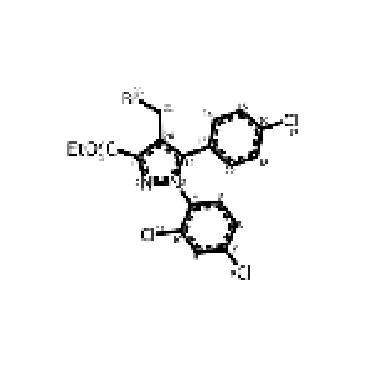 CCOC(=O)c1nn(-c2ccc(Cl)cc2Cl)c(-c2ccc(Cl)cc2)c1CBr